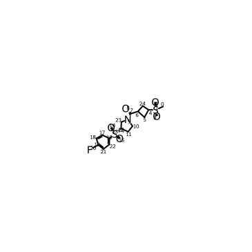 CS(=O)(=O)C1CC(C(=O)N2CC[C@H](S(=O)(=O)c3ccc(F)cc3)C2)C1